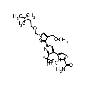 COCc1cn(COCC[Si](C)(C)C)nc1-n1cc(-c2cnc(C(N)=O)n2C)c(C(F)(F)F)n1